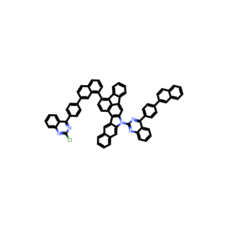 Clc1nc(-c2ccc(-c3ccc4cccc(-c5ccc6c7c(cc8c6c6cc9ccccc9cc6n8-c6nc(-c8ccc(-c9ccc%10ccccc%10c9)cc8)c8ccccc8n6)-c6ccccc6-c57)c4c3)cc2)c2ccccc2n1